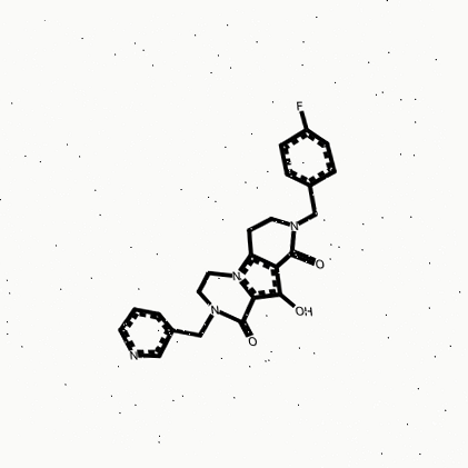 O=C1c2c(O)c3n(c2CCN1Cc1ccc(F)cc1)CCN(Cc1cccnc1)C3=O